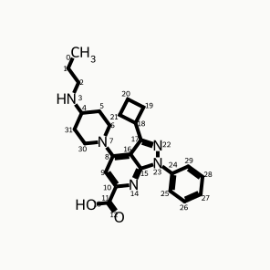 CCCNC1CCN(c2cc(C(=O)O)nc3c2c(C2CCC2)nn3-c2ccccc2)CC1